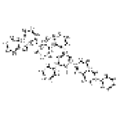 c1ccc(-c2ccc3cc(C4=NC(c5cccc6oc7c(-c8cccc9c8oc8ccccc89)cccc7c56)=NC(c5ccccc5)N4)ccc3c2)cc1